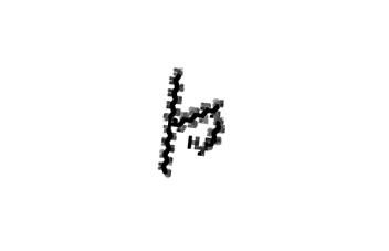 CCCCCCCCP(CCCCCCCC)CCCCCCCC.CCCCP